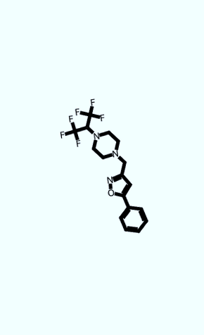 FC(F)(F)C(N1CCN(Cc2cc(-c3ccccc3)on2)CC1)C(F)(F)F